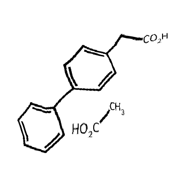 CC(=O)O.O=C(O)Cc1ccc(-c2ccccc2)cc1